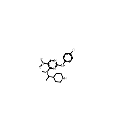 CC(C1CCNCC1)N(C)c1nc(Nc2ccc(Cl)cc2)ncc1[N+](=O)[O-]